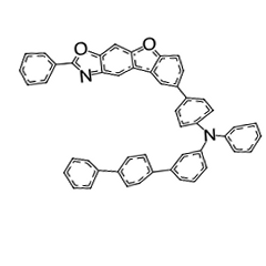 c1ccc(-c2ccc(-c3cccc(N(c4ccccc4)c4ccc(-c5ccc6oc7cc8oc(-c9ccccc9)nc8cc7c6c5)cc4)c3)cc2)cc1